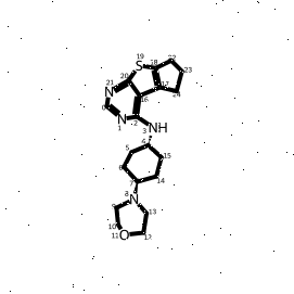 c1nc(N[C@H]2CC[C@H](N3CCOCC3)CC2)c2c3c(sc2n1)CCC3